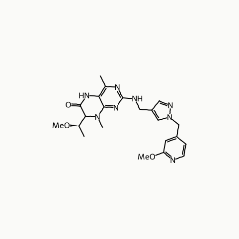 COc1cc(Cn2cc(CNc3nc(C)c4c(n3)N(C)C([C@@H](C)OC)C(=O)N4)cn2)ccn1